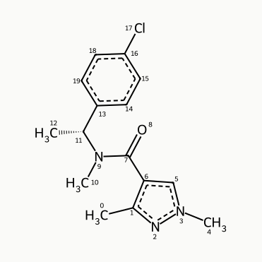 Cc1nn(C)cc1C(=O)N(C)[C@H](C)c1ccc(Cl)cc1